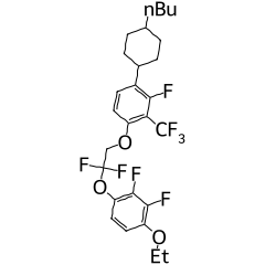 CCCCC1CCC(c2ccc(OCC(F)(F)Oc3ccc(OCC)c(F)c3F)c(C(F)(F)F)c2F)CC1